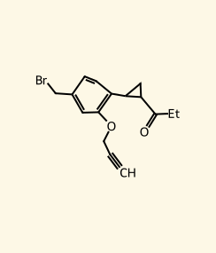 C#CCOc1cc(CBr)ccc1C1CC1C(=O)CC